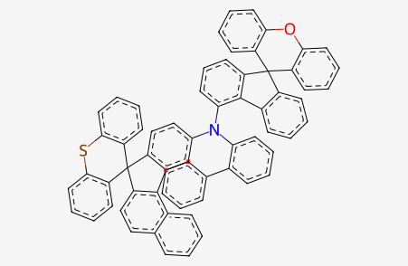 c1ccc(-c2ccccc2N(c2ccc3c(c2)-c2c(ccc4ccccc24)C32c3ccccc3Sc3ccccc32)c2cccc3c2-c2ccccc2C32c3ccccc3Oc3ccccc32)cc1